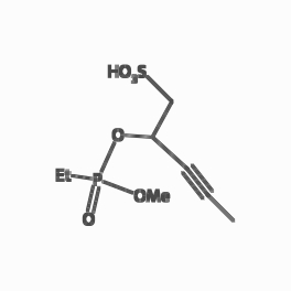 CC#CC(CS(=O)(=O)O)OP(=O)(CC)OC